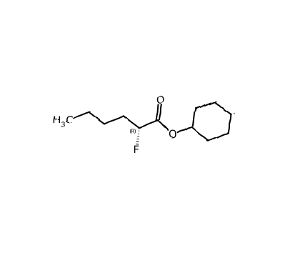 CCCC[C@@H](F)C(=O)OC1CC[CH]CC1